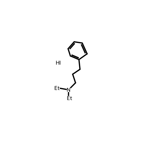 CCN(CC)CCCc1ccccc1.I